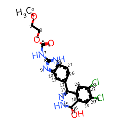 COCCOC(=O)Nc1nc2cc(C3=NNC(O)c4cc(Cl)c(Cl)cc43)ccc2[nH]1